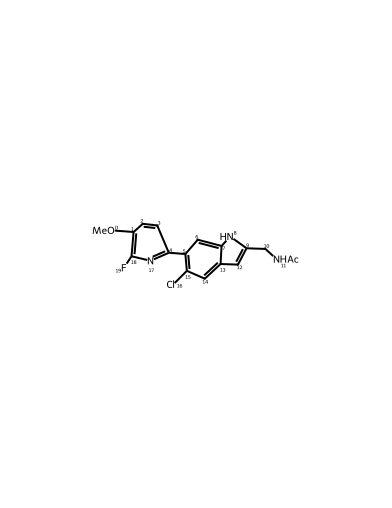 COc1ccc(-c2cc3[nH]c(CNC(C)=O)cc3cc2Cl)nc1F